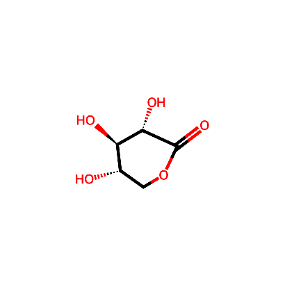 O=C1OC[C@H](O)[C@@H](O)[C@@H]1O